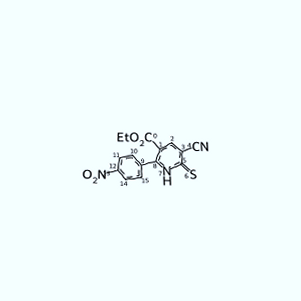 CCOC(=O)c1cc(C#N)c(=S)[nH]c1-c1ccc([N+](=O)[O-])cc1